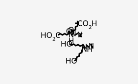 CN(C)CCN(CCCCCCO)NCCCCCCO.CN(C)CCN(NC(=O)CCCCC(=O)O)C(=O)CCCC(C)(C)C(=O)O